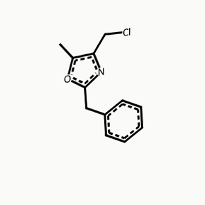 Cc1oc(Cc2ccccc2)nc1CCl